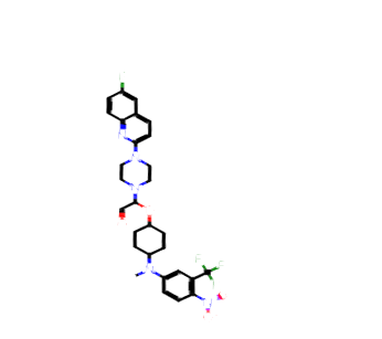 CN(c1ccc([N+](=O)[O-])c(C(F)(F)F)c1)C1CCC(OC(C=O)N2CCN(c3ccc4cc(F)ccc4n3)CC2)CC1